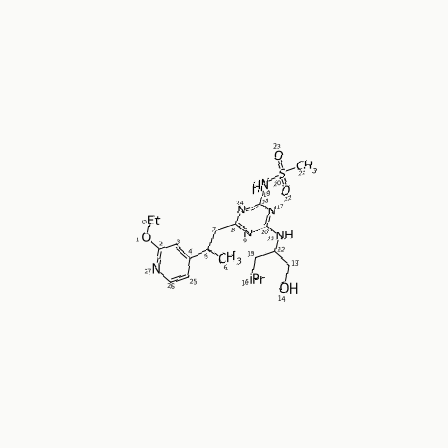 CCOc1cc(C(C)Cc2nc(NC(CO)CC(C)C)nc(NS(C)(=O)=O)n2)ccn1